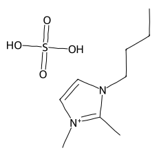 CCCCn1cc[n+](C)c1C.O=S(=O)(O)O